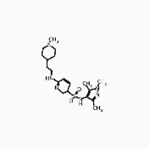 Cc1nn(C)c(C)c1NS(=O)(=O)C1C=CC(NCCC2CCN(C)CC2)=NC1